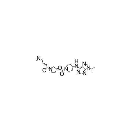 CC(C)n1cnc2c(NC3CCN(C(=O)O[C@H]4CCN(C(=O)/C=C/CN(C)C)C4)CC3)ncnc21